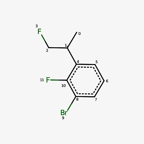 C[C](CF)c1cccc(Br)c1F